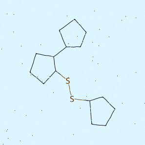 C1CCC(SSC2CCCC2C2CCCC2)C1